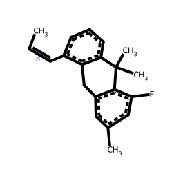 C/C=C\c1cccc2c1Cc1cc(C)cc(F)c1C2(C)C